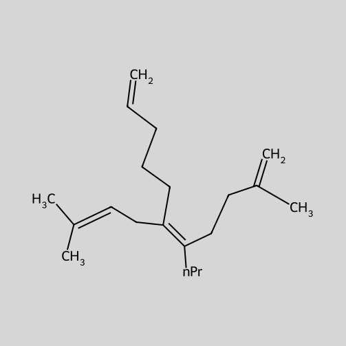 C=CCCCC(CC=C(C)C)=C(CCC)CCC(=C)C